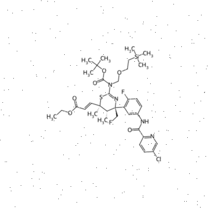 CCOC(=O)/C=C/[C@@]1(C)SC(N(COCC[Si](C)(C)C)C(=O)OC(C)(C)C)=N[C@](CF)(c2cc(NC(=O)c3ccc(Cl)cn3)ccc2F)[C@@H]1C